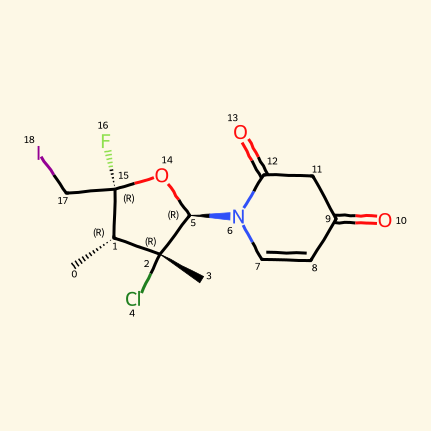 C[C@H]1[C@@](C)(Cl)[C@H](N2C=CC(=O)CC2=O)O[C@]1(F)CI